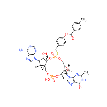 CO[C@H]1[C@H]2OP(=O)(O)OCC34C[C@@H]3[C@@H](N3C=NC5C(N)=NC=NC53)[C@H](O)[C@@H]4OP(=O)(SCc3ccc(OC(=O)c4ccc(C)cc4)cc3)OC[C@H]1O[C@H]2n1cnc2c(=O)[nH]c(C)nc21